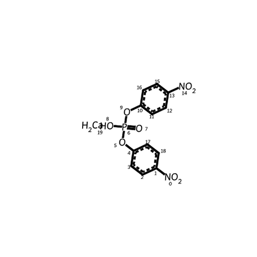 O=[N+]([O-])c1ccc(OP(=O)(O)Oc2ccc([N+](=O)[O-])cc2)cc1.[CaH2]